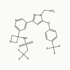 CCn1nc(-c2cncc(C3(NS(=O)(=O)CC(F)(F)F)COC3)c2)cc1Oc1ccc(C(F)(F)F)cc1